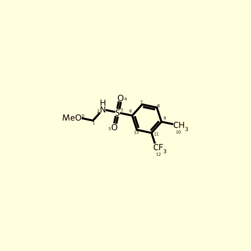 COCNS(=O)(=O)c1ccc(C)c(C(F)(F)F)c1